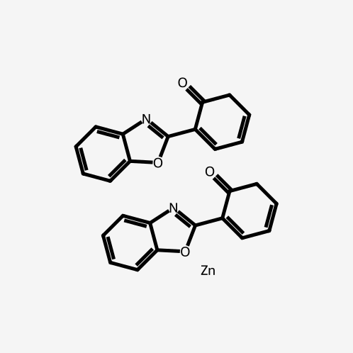 O=C1CC=CC=C1c1nc2ccccc2o1.O=C1CC=CC=C1c1nc2ccccc2o1.[Zn]